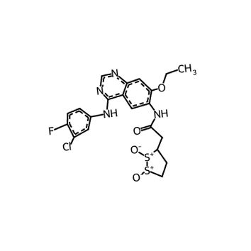 CCOc1cc2ncnc(Nc3ccc(F)c(Cl)c3)c2cc1NC(=O)CC1CC[S+]([O-])[S+]1[O-]